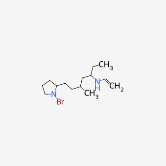 C=CNC(CC)CC(C)CCC1CCCN1Br